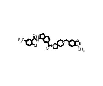 Cn1nnc2cc(CN3CCC4(CC3)CCN(C(=O)c3ccc5c(c3)C(NC(=O)c3cc(C(F)(F)F)ccc3Cl)CC5)C4)ccc21